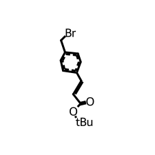 CC(C)(C)OC(=O)/C=C/c1ccc(CBr)cc1